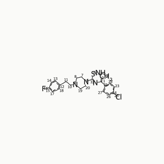 C=C(/N=C(\SN)N1CCN(CCc2ccc(F)cc2)CC1)c1ccc(Cl)cc1